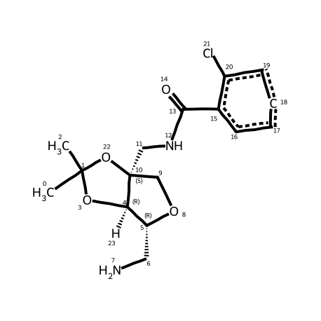 CC1(C)O[C@@H]2[C@@H](CN)OC[C@]2(CNC(=O)c2ccccc2Cl)O1